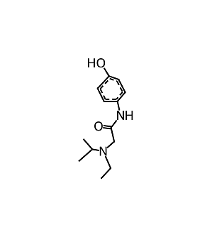 CCN(CC(=O)Nc1ccc(O)cc1)C(C)C